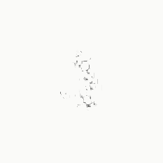 COc1c(C(C)(C)CC(O)(C(=O)Nc2ccc3c(c2)COC3=O)C(F)(F)F)cc(F)c(F)c1F